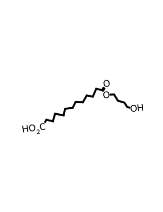 O=C(O)CCCCCCCCCCCC(=O)OCCCCO